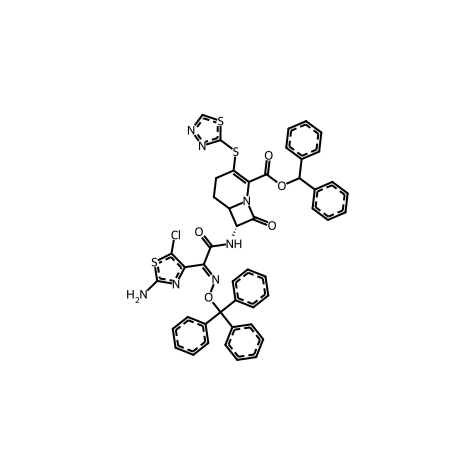 Nc1nc(C(=NOC(c2ccccc2)(c2ccccc2)c2ccccc2)C(=O)N[C@H]2C(=O)N3C(C(=O)OC(c4ccccc4)c4ccccc4)=C(Sc4nncs4)CCC23)c(Cl)s1